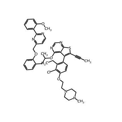 CC#Cc1sc2ncnc(OC(C)Cc3ccccc3OCc3ccnc(-c4ccccc4OC)n3)c2c1-c1ccc(OCCN2CCN(C)CC2)c(Cl)c1CC